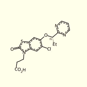 CC[C@H](Oc1cc2sc(=O)n(CCC(=O)O)c2cc1Cl)c1ncccn1